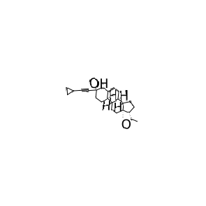 CC(=O)[C@H]1CC[C@H]2[C@@H]3CC=C4C[C@](O)(C#CC5CC5)CC[C@@H]4[C@H]3CC[C@]12C